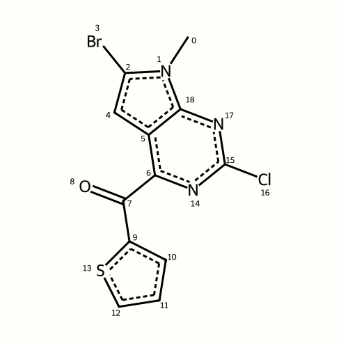 Cn1c(Br)cc2c(C(=O)c3cccs3)nc(Cl)nc21